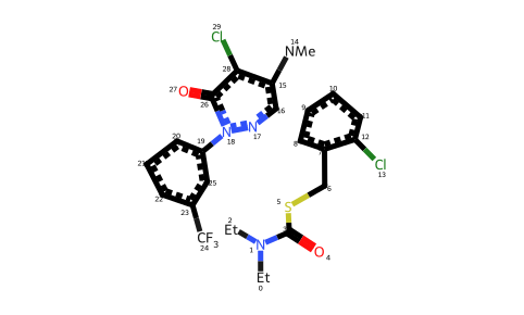 CCN(CC)C(=O)SCc1ccccc1Cl.CNc1cnn(-c2cccc(C(F)(F)F)c2)c(=O)c1Cl